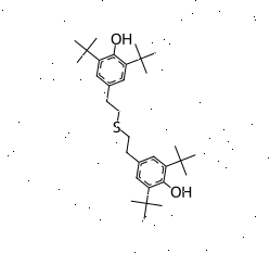 CC(C)(C)c1cc(CCSCCc2cc(C(C)(C)C)c(O)c(C(C)(C)C)c2)cc(C(C)(C)C)c1O